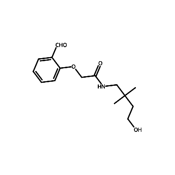 CC(C)(CCO)CNC(=O)COc1ccccc1C=O